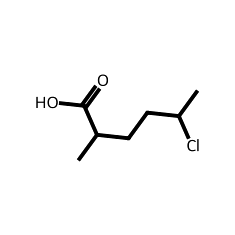 CC(Cl)CCC(C)C(=O)O